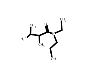 CCN(CCO)C(=O)C(C)C(C)C